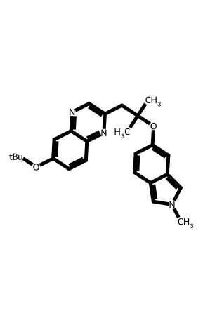 Cn1cc2ccc(OC(C)(C)Cc3cnc4cc(OC(C)(C)C)ccc4n3)cc2c1